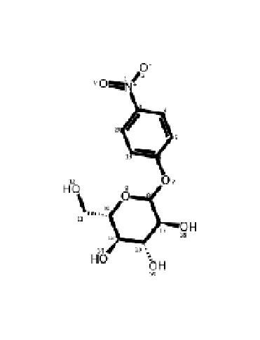 O=[N+]([O-])c1ccc(OC2O[C@@H](CO)[C@H](O)[C@@H](O)[C@@H]2O)cc1